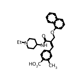 CCN1CCC(NC(=O)C(=Cc2ccc(C(=O)O)c(C)c2)COc2cccc3ccccc23)CC1